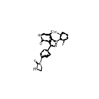 O=C1NCCN1c1ccc(-c2nn(-c3c(F)cccc3F)c3c(Cl)c[nH]c(=O)c23)cc1